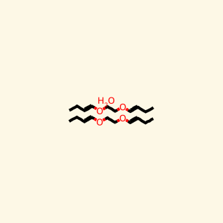 CCC=COCCOC=CCC.CCC=COCCOC=CCC.O